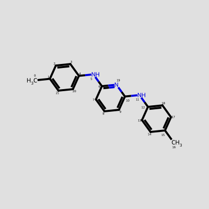 Cc1ccc(Nc2cccc(Nc3ccc(C)cc3)n2)cc1